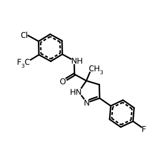 CC1(C(=O)Nc2ccc(Cl)c(C(F)(F)F)c2)CC(c2ccc(F)cc2)=NN1